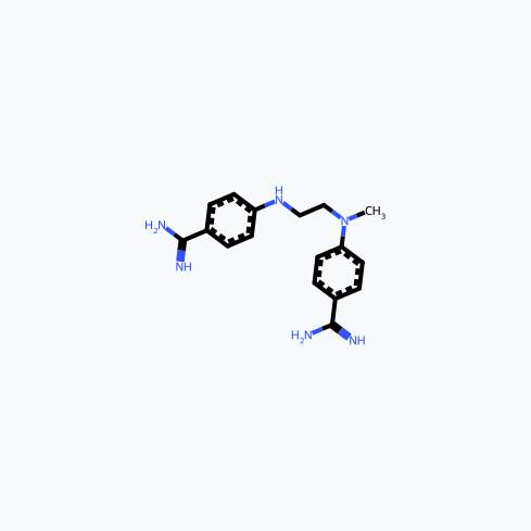 CN(CCNc1ccc(C(=N)N)cc1)c1ccc(C(=N)N)cc1